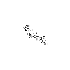 CNC(=O)c1cc(Cl)c(COc2cccc(-c3cc(F)c(Cc4nc5ccc(C(=O)O)cc5n4CC4(CF)CC4)c(F)c3F)n2)cn1